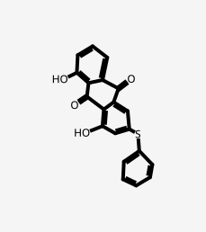 O=C1c2cccc(O)c2C(=O)c2c(O)cc(Sc3ccccc3)cc21